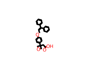 O=C(O)CC1(c2ccc(OCC=C(c3ccccc3)c3ccccc3)cc2)COC1